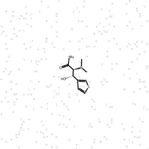 CN(C)[C@H](C(=O)C(C)(C)C)[C@@H](O)c1ccsc1